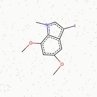 COc1cc(OC)c2c(c1)c(I)cn2C